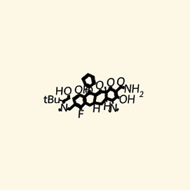 CN(C)[C@@H]1C(O)=C(C(N)=O)C(=O)[C@@]2(C)C(Oc3ccccc3)=C3C(=O)c4c(O)cc(CN(C)[C@H](CO)C(C)(C)C)c(F)c4C[C@H]3C[C@@H]12